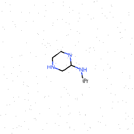 CC(C)NC1CNCC[N]1